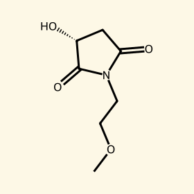 COCCN1C(=O)C[C@@H](O)C1=O